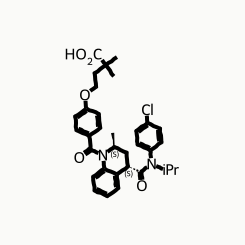 CC(C)N(C(=O)[C@H]1C[C@H](C)N(C(=O)c2ccc(OCCC(C)(C)C(=O)O)cc2)c2ccccc21)c1ccc(Cl)cc1